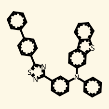 c1ccc(-c2ccc(-c3nc(-c4cccc(N(c5ccccc5)c5ccc6c(c5)sc5ccccc56)c4)ns3)cc2)cc1